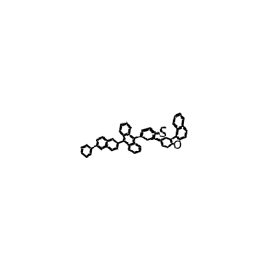 c1ccc(-c2ccc3cc(-c4c5ccccc5c(-c5ccc6sc7c(ccc8oc9ccc%10ccccc%10c9c87)c6c5)c5ccccc45)ccc3c2)cc1